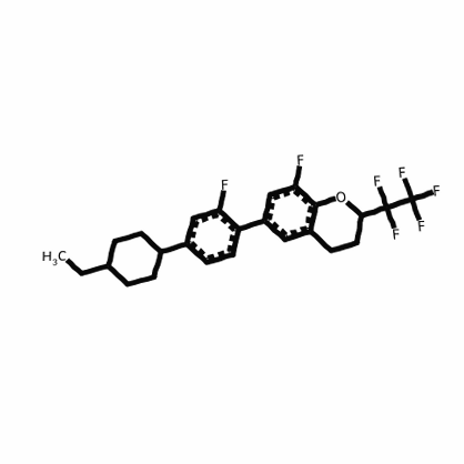 CCC1CCC(c2ccc(-c3cc(F)c4c(c3)CCC(C(F)(F)C(F)(F)F)O4)c(F)c2)CC1